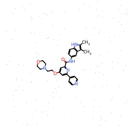 Cc1[nH]c2ccc(NC(=O)c3cc(OCCN4CCOCC4)cc(-c4ccncc4)n3)cc2c1C